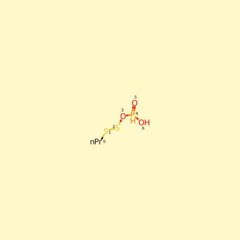 CCCSSO[PH](=O)O